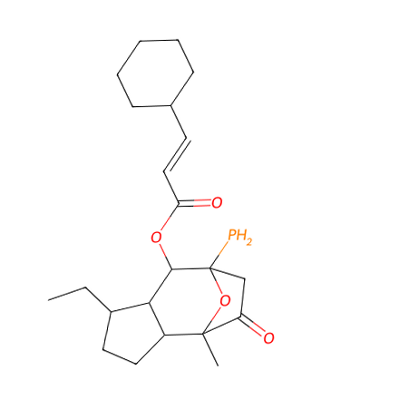 CCC1CCC2C1C(OC(=O)/C=C/C1CCCCC1)C1(P)CC(=O)C2(C)O1